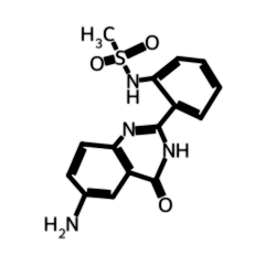 CS(=O)(=O)Nc1ccccc1-c1nc2ccc(N)cc2c(=O)[nH]1